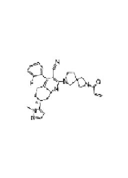 C=CC(=O)N1CC2(CCN(c3nc4c(c(-c5ccccc5F)c3C#N)CC[C@H](c3ccnn3C)C4)C2)C1